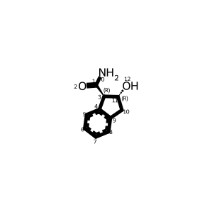 NC(=O)[C@@H]1c2ccccc2C[C@H]1O